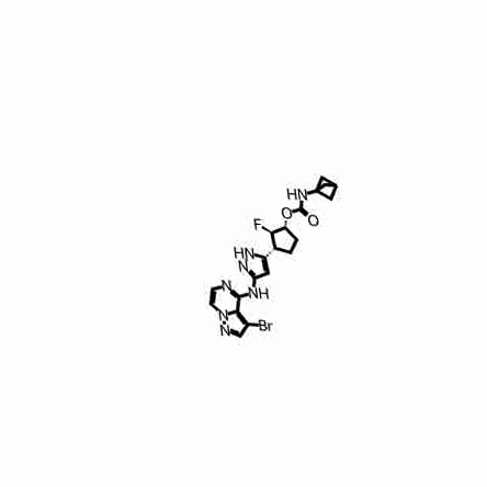 O=C(NC12CC(C1)C2)O[C@@H]1CC[C@H](c2cc(Nc3nccn4ncc(Br)c34)n[nH]2)[C@H]1F